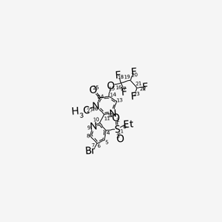 CCS(=O)(=O)c1cc(Br)cnc1-c1ncc(OC(F)(F)C(F)C(F)F)c(=O)n1C